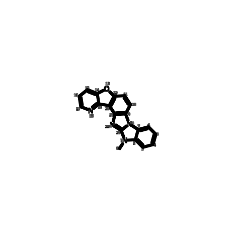 Cn1c2ccccc2n2c3ccc4oc5cccnc5c4c3nc12